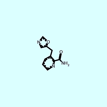 NC(=O)c1ncccc1Cc1cnco1